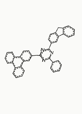 c1ccc(-c2nc(-c3ccc4c(c3)-c3ccccc3C4)nc(-c3ccc4c5ccccc5c5ccccc5c4c3)n2)cc1